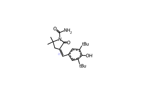 CC(C)(C)c1cc(/C=C2/CC(C)(C)N(C(N)=O)C2=O)cc(C(C)(C)C)c1O